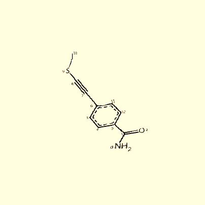 NC(=O)c1ccc(C#CSI)cc1